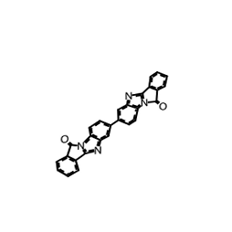 O=C1c2ccccc2-c2nc3cc(-c4ccc5c(c4)nc4n5C(=O)c5ccccc5-4)ccc3n21